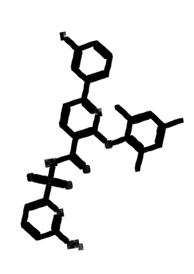 Cc1cc(C)c(Oc2nc(-c3cccc(F)c3)ccc2C(=O)NS(=O)(=O)c2cccc(N)n2)c(C)c1